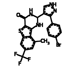 Cc1cc(C(F)(F)F)cc2sc3c(c12)NC(c1c[nH]nc1-c1ccc(Br)cc1)NC3=O